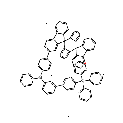 c1ccc(N(c2ccc(-c3ccc4c(c3)C3(c5ccccc5-4)c4ccccc4C4(c5ccccc5-c5ccccc54)c4ccccc43)cc2)c2cccc(-c3ccc([Si](c4ccccc4)(c4ccccc4)c4ccccc4)cc3)c2)cc1